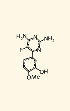 COc1ccc(-c2nc(N)nc(N)c2F)cc1O